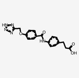 O=C(O)CCc1ccc(NC(=O)c2ccc(OCc3nn[nH]n3)cc2)cc1